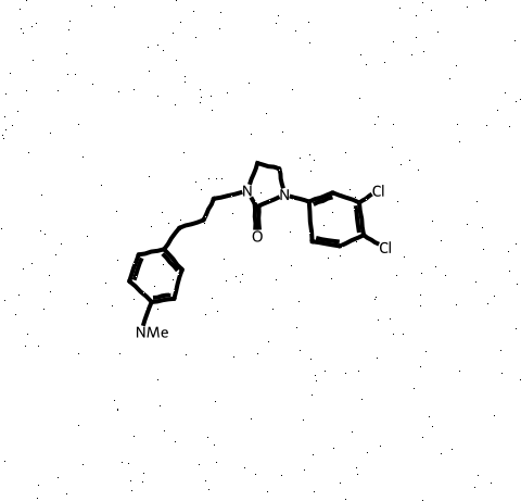 CNc1ccc(CCCN2CCN(c3ccc(Cl)c(Cl)c3)C2=O)cc1